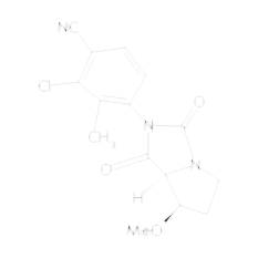 CO[C@@H]1CCN2C(=O)N(c3ccc(C#N)c(Cl)c3C)C(=O)[C@H]12